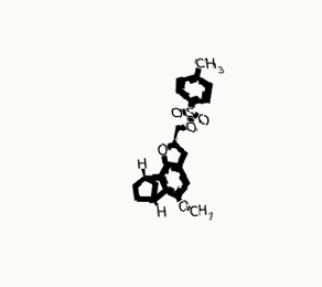 COc1cc2c(c3c1[C@@H]1CC[C@H]3C1)O[C@@H](COS(=O)(=O)c1ccc(C)cc1)C2